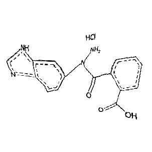 Cl.NN(C(=O)c1ccccc1C(=O)O)c1ccc2nc[nH]c2c1